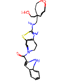 O=C(c1cc2ccccc2[nH]1)N1CCc2nc(NCC3(CO)CCOCC3)sc2C1